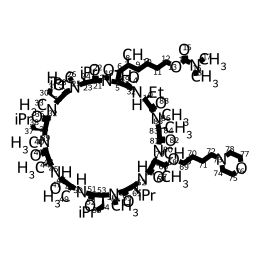 CC[C@@H]1NC(=O)[C@@H]2[C@@H]([C@H](C)CCCCOC(=O)N(C)C)ON2C(=O)[C@H](C(C)C)N(C)C(=O)[C@H](CC(C)C)N(C)C(=O)[C@H](CC(C)C)N(C)C(=O)[C@@H](C)NC(=O)[C@H](C)NC(=O)[C@H](CC(C)C)N(C)C(=O)[C@H](C(C)C)NC(=O)[C@H]([C@@H](C)OCCCCN2CCOCC2)N(C)C(=O)[C@@H](C)N(C)C1=O